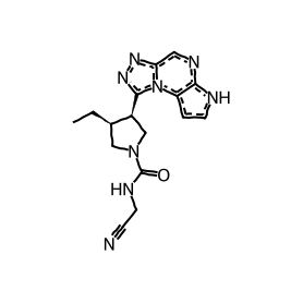 CC[C@@H]1CN(C(=O)NCC#N)C[C@@H]1c1nnc2cnc3[nH]ccc3n12